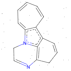 C1=CC=c2c(c3c4n2CC=NC=4CC=C3)C=C1